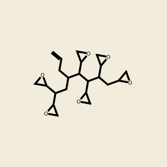 C=CCC(CC(C1CO1)C1CO1)C(C1CO1)C(C1CO1)C(CC1CO1)C1CO1